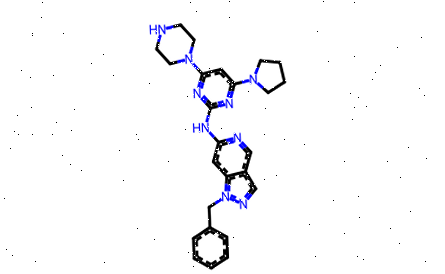 c1ccc(Cn2ncc3cnc(Nc4nc(N5CCCC5)cc(N5CCNCC5)n4)cc32)cc1